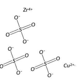 O=S(=O)([O-])[O-].O=S(=O)([O-])[O-].O=S(=O)([O-])[O-].[Cu+2].[Zr+4]